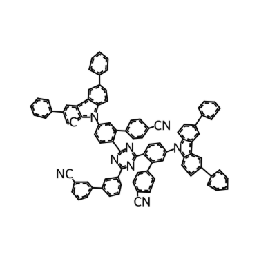 N#Cc1ccc(-c2cc(-n3c4ccc(-c5ccccc5)cc4c4cc(-c5ccccc5)ccc43)ccc2-c2nc(-c3cccc(-c4cccc(C#N)c4)c3)nc(-c3ccc(-n4c5ccc(-c6ccccc6)cc5c5cc(-c6ccccc6)ccc54)cc3-c3ccc(C#N)cc3)n2)cc1